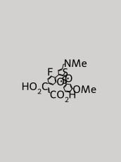 CNCc1cc(-c2ccccc2F)c(S(=O)(=O)c2cccc(OC)c2)s1.O=C(O)C=CC(=O)O